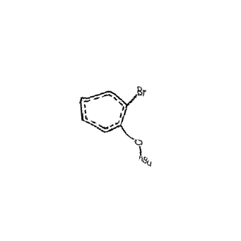 CCCCOc1ccccc1Br